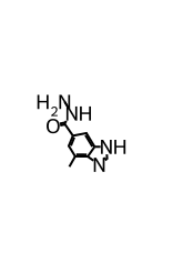 Cc1cc(C(=O)NN)cc2[nH]cnc12